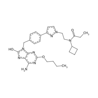 CCCCOc1nc(N)c2nc(O)n(Cc3ccc(-c4ccn(CCN(C(=O)CC)C5CCC5)n4)cc3)c2n1